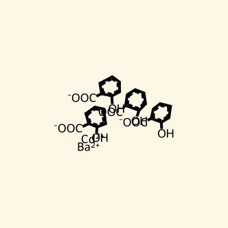 O=C([O-])c1ccccc1O.O=C([O-])c1ccccc1O.O=C([O-])c1ccccc1O.O=C([O-])c1ccccc1O.[Ba+2].[Cd+2]